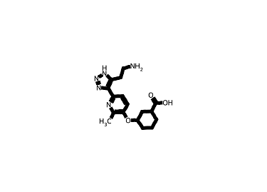 Cc1nc(-c2nn[nH]c2CCN)ccc1OC1CCCC(C(=O)O)C1